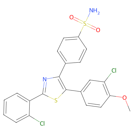 COc1ccc(-c2sc(-c3ccccc3Cl)nc2-c2ccc(S(N)(=O)=O)cc2)cc1Cl